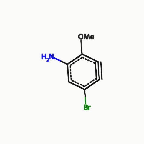 COc1c#cc(Br)cc1N